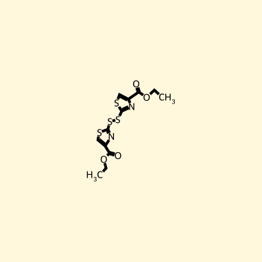 CCOC(=O)c1csc(SSc2nc(C(=O)OCC)cs2)n1